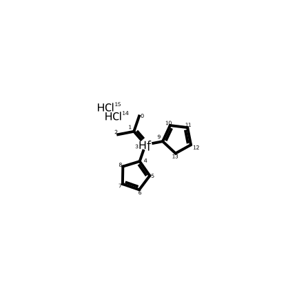 C[C](C)=[Hf]([C]1=CC=CC1)[C]1=CC=CC1.Cl.Cl